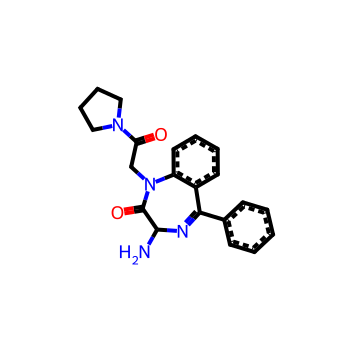 NC1N=C(c2ccccc2)c2ccccc2N(CC(=O)N2CCCC2)C1=O